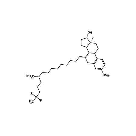 CCOC(=O)C(CCCCCCCCC[C@@H]1Cc2cc(OC)ccc2C2CC[C@@]3(C)C(CC[C@@H]3O)C21)CCCC(F)(F)C(F)(F)F